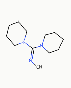 N#CN=C(N1C[CH]CCC1)N1CCCCC1